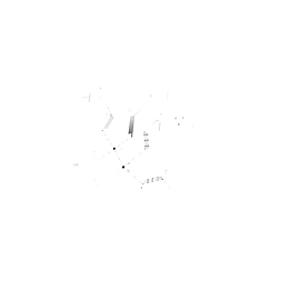 CC=CC(C=CC)(C(=O)[O-])C(C=CC)(C=CC)C(=O)[O-].[Mg+2]